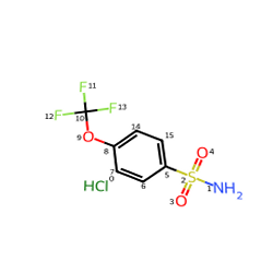 Cl.NS(=O)(=O)c1ccc(OC(F)(F)F)cc1